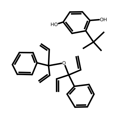 C=CC(C=C)(OC(C=C)(C=C)c1ccccc1)c1ccccc1.CC(C)(C)c1cc(O)ccc1O